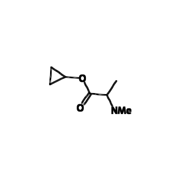 CNC(C)C(=O)OC1CC1